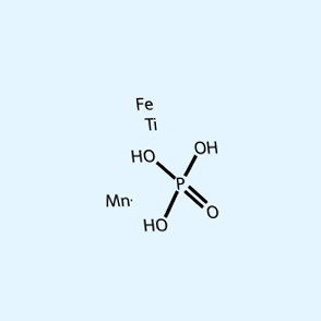 O=P(O)(O)O.[Fe].[Mn].[Ti]